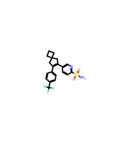 NS(=O)(=O)c1ccc(C2=C(c3ccc(C(F)(F)F)cc3)CC3(CCC3)C2)cn1